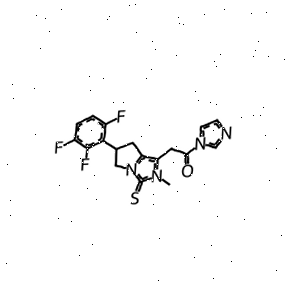 Cn1c(CC(=O)n2ccnc2)c2n(c1=S)CC(c1c(F)ccc(F)c1F)C2